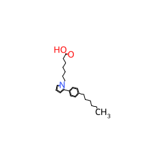 CCCCCCc1ccc(-c2cccn2CCCCCCC(=O)O)cc1